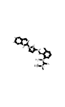 Cc1cccc(N(N)C(=O)N(C)N)c1COc1ccn(-c2ncc3ccccc3n2)n1